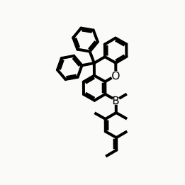 C/C=C(C)\C=C(\C)C(C)B(C)c1cccc2c1Oc1ccccc1C2(c1ccccc1)c1ccccc1